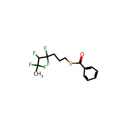 CC(F)(F)C(F)C(F)(F)CCCSC(=O)c1ccccc1